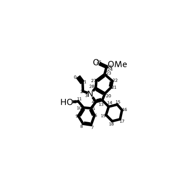 C#CCn1c(-c2ccccc2CO)c(C2CCCCC2)c2ccc(C(=O)OC)cc21